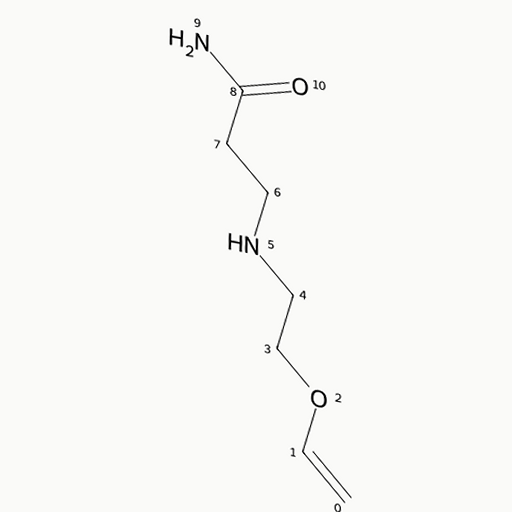 C=COCCNCCC(N)=O